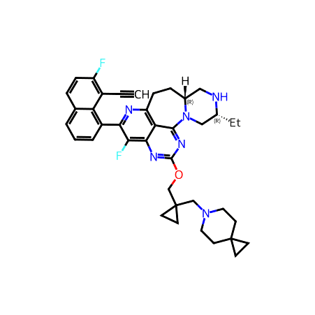 C#Cc1c(F)ccc2cccc(-c3nc4c5c(nc(OCC6(CN7CCC8(CC7)CC8)CC6)nc5c3F)N3C[C@@H](CC)NC[C@H]3CC4)c12